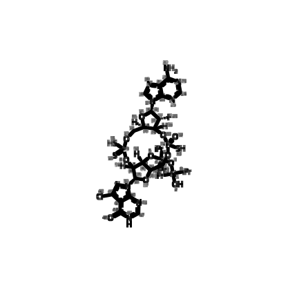 CC(C)[Si](O)(O[Si](O[C@H]1[C@H]2OP(=S)(S)OC[C@H]3O[C@@H](n4cnc5c(N)ncnc54)[C@H](F)[C@@H]3OP(=O)(S)OC[C@H]1O[C@H]2n1cc(Cl)c2c(=O)[nH]cnc21)(C(C)C)C(C)C)C(C)C